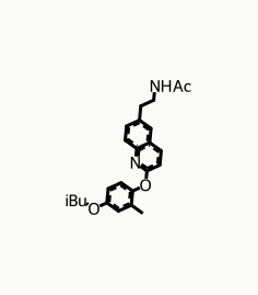 CCC(C)Oc1ccc(Oc2ccc3cc(CCNC(C)=O)ccc3n2)c(C)c1